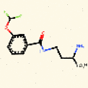 NC(CCNC(=O)c1cccc(OC(F)F)c1)C(=O)O